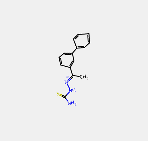 C/C(=N\NC(N)=S)c1cccc(-c2ccccc2)c1